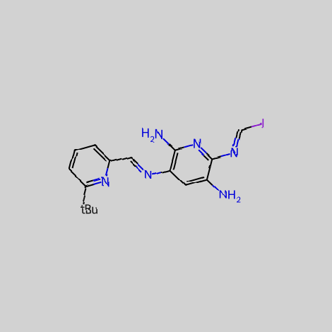 CC(C)(C)c1cccc(/C=N/c2cc(N)c(/N=C/I)nc2N)n1